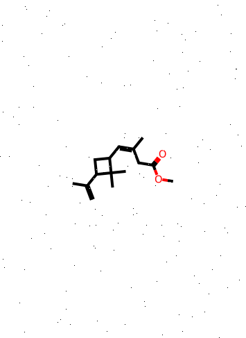 C=C(C)C1CC(C=C(C)CC(=O)OC)C1(C)C